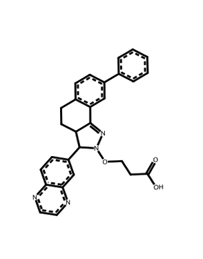 O=C(O)CCON1N=C2c3cc(-c4ccccc4)ccc3CCC2C1c1ccc2nccnc2c1